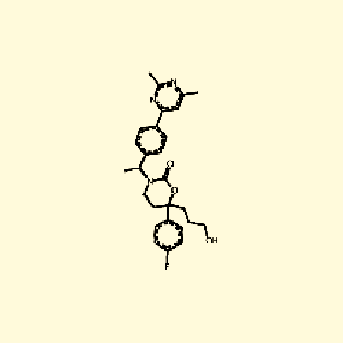 Cc1cc(-c2ccc([C@H](C)N3CCC(CCCO)(c4ccc(F)cc4)OC3=O)cc2)nc(C)n1